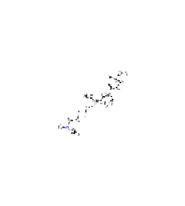 C=C/C(=C\C=C(/C)CCCCCCN(C)CC)C1=CCC(C=O)CC1